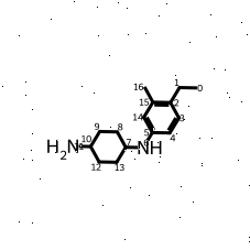 CCc1ccc(NC2CCC(N)CC2)cc1C